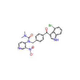 CN(C)C(=O)N(Cc1ccc(C(=O)c2c[nH]c3cccc(Br)c23)cc1)c1ccncc1[N+](=O)[O-]